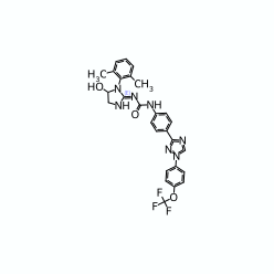 Cc1cccc(C)c1N1/C(=N/C(=O)Nc2ccc(-c3ncn(-c4ccc(OC(F)(F)F)cc4)n3)cc2)NCC1O